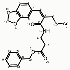 CC(=O)SCC(=Cc1ccc2c(c1)OCO2)C(=O)NCCC(=O)OCc1ccccc1